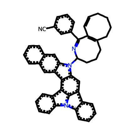 N#Cc1cccc(/C2=N/C(n3c4cc5ccccc5cc4c4c5c6ccccc6n6c7ccccc7c(cc43)c56)CCC/C3=C2/C=C\CCCC3)c1